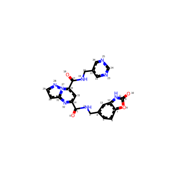 O=C(NCc1ccc2oc(=O)[nH]c2c1)c1cc(C(=O)NCc2cncnc2)n2nccc2n1